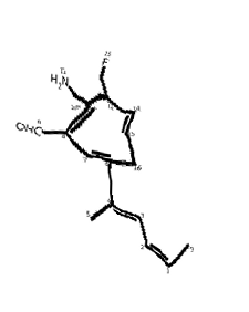 C\C=C/C=C(C)/C1=C/C(C=O)=C(/N)C(F)/C=C/C1